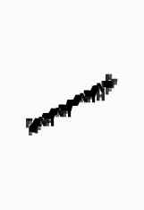 FC(F)(F)CNCCCNCCCCCNCCCNCC(F)(F)F